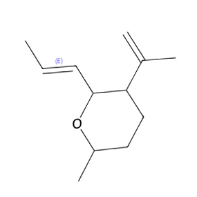 C=C(C)C1CCC(C)OC1/C=C/C